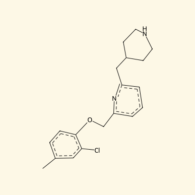 Cc1ccc(OCc2cccc(CC3CCNCC3)n2)c(Cl)c1